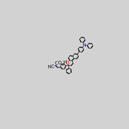 N#C/C(=C/c1ccc(C2(c3ccccc3)C=Cc3c(ccc4cc(-c5ccc(N(c6ccccc6)c6ccccc6)cc5)ccc34)O2)cc1)C(=O)O